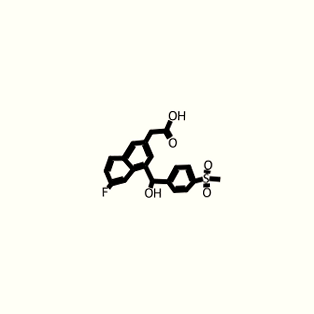 CS(=O)(=O)c1ccc(C(O)c2cc(CC(=O)O)cc3ccc(F)cc23)cc1